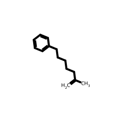 C=C(C)CCCCCc1ccccc1